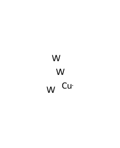 [Cu].[W].[W].[W]